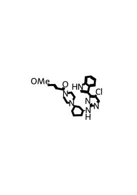 COC/C=C/C(=O)N1CCN([C@H]2CCC[C@@H](Nc3ncc(Cl)c(-c4c[nH]c5ccccc45)n3)C2)CC1